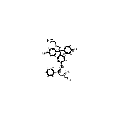 CCCC[B-](c1ccc(Br)cc1)(c1ccc(Br)cc1)c1ccc(Br)cc1.C[S+](C)CC(=O)c1ccccc1